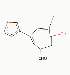 O=CC1C=C(O)C(F)=CC(c2ccsc2)=C1